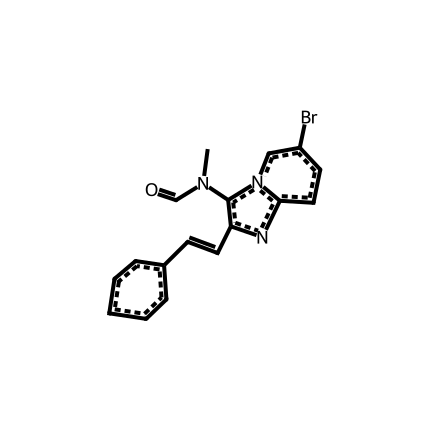 CN(C=O)c1c(C=Cc2ccccc2)nc2ccc(Br)cn12